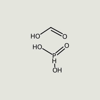 O=CO.O=[PH](O)O